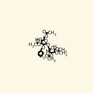 CC(=O)OCC1O[C@H](OCC2O[C@@H]3OC(C)(C)OC3C3OC(C)(C)O[C@@H]23)C(OCc2ccccc2)C(OC(C)=O)[C@@H]1O